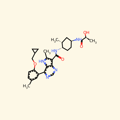 Cc1ccc(OCC2CC2)c(-c2ncnc3c(C(=O)N[C@H]4CC[C@H](NC(=O)[C@H](C)O)C[C@H]4C)c(C)[nH]c23)c1